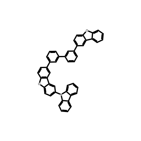 c1cc(-c2cccc(-c3ccc4oc5ccc(-n6c7ccccc7c7ccccc76)cc5c4c3)c2)cc(-c2ccc3oc4ccccc4c3c2)c1